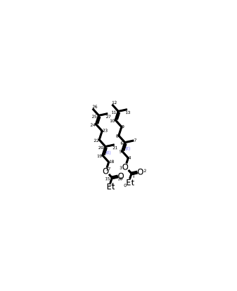 CCC(=O)OC/C=C(\C)CCC=C(C)C.CCC(=O)OC/C=C(\C)CCC=C(C)C